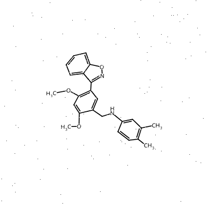 COc1cc(OC)c(-c2noc3ccccc23)cc1CNc1ccc(C)c(C)c1